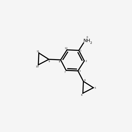 Nc1cc(C2CC2)cc(C2CC2)c1